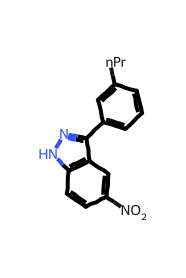 CCCc1cccc(-c2n[nH]c3ccc([N+](=O)[O-])cc23)c1